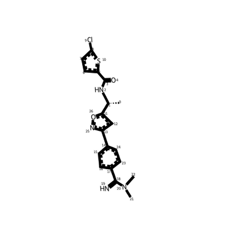 C[C@@H](NC(=O)c1ccc(Cl)s1)c1cc(-c2ccc(C(=N)N(C)C)cc2)no1